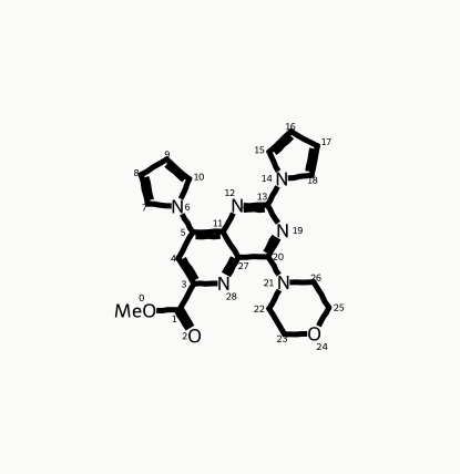 COC(=O)c1cc(-n2cccc2)c2nc(-n3cccc3)nc(N3CCOCC3)c2n1